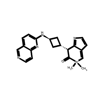 C[N+]1(C)C=C2C=CN=C2C([C@H]2C[C@H](Nc3ccc4cnccc4n3)C2)C1=O